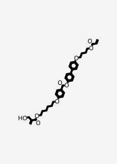 C=CC(=O)OCCCCOc1ccc(-c2ccc(OC(=O)c3ccc(OCCCCCCOC(=O)C(=C)CO)cc3)cc2)cc1